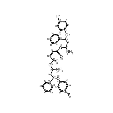 NC(CC(Oc1ccc(F)cc1)c1ccccc1)OC(=O)/C=C\C(=O)OC(N)CC(Oc1ccc(F)cc1)c1ccccc1